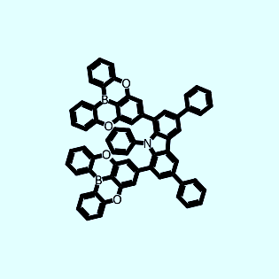 c1ccc(-c2cc(-c3cc4c5c(c3)Oc3ccccc3B5c3ccccc3O4)c3c(c2)c2cc(-c4ccccc4)cc(-c4cc5c6c(c4)Oc4ccccc4B6c4ccccc4O5)c2n3-c2ccccc2)cc1